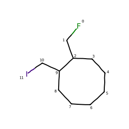 FCC1CCCCCCC1CI